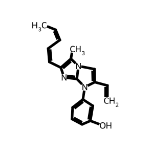 C=Cc1cn2c(C)c(/C=C\C=C/C)nc2n1-c1cccc(O)c1